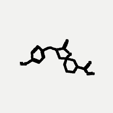 COC(=O)C1CCCC2(C1)CN(Cc1ccc(OC)cc1)C(=O)O2